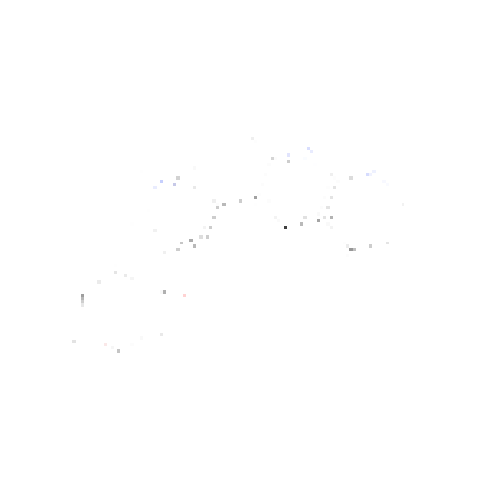 Cc1nc2c(cc1-c1cncc(C3(O)CCOCC3)c1)CCCN2